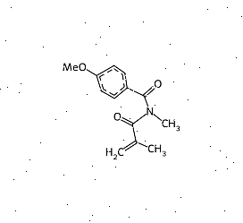 C=C(C)C(=O)N(C)C(=O)c1ccc(OC)cc1